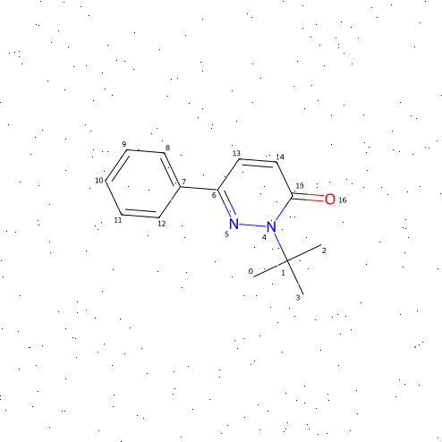 CC(C)(C)n1nc(-c2ccccc2)ccc1=O